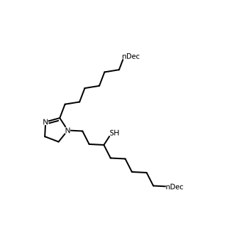 CCCCCCCCCCCCCCCCC1=NCCN1CCC(S)CCCCCCCCCCCCCCC